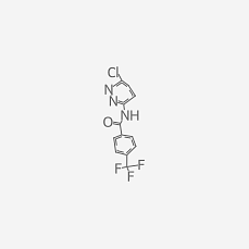 O=C(Nc1ccc(Cl)nn1)c1ccc(C(F)(F)F)cc1